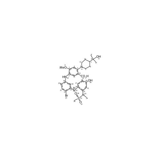 COc1cc(N2CCC(C(C)(C)O)CC2)c(C(=O)O)cc1Nc1ncc(Br)c(Nc2ccc(O)cc2N(C)S(C)(=O)=O)n1